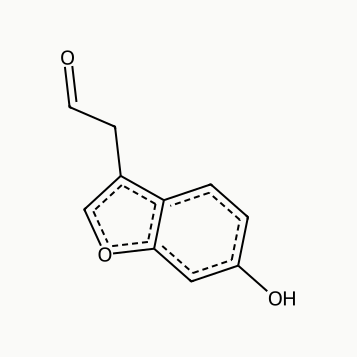 O=CCc1coc2cc(O)ccc12